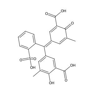 CC1=C/C(=C(\c2cc(C)c(O)c(C(=O)O)c2)c2ccccc2S(=O)(=O)O)C=C(C(=O)O)C1=O